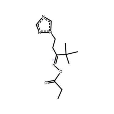 CCC(=O)O/N=C(/CCn1cncn1)C(C)(C)C